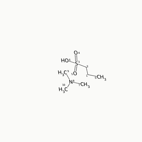 CCCS(=O)(=O)O.CN(C)C